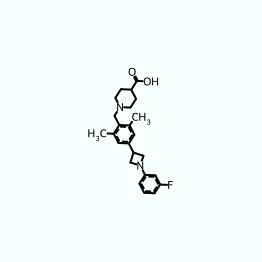 Cc1cc(C2CN(c3cccc(F)c3)C2)cc(C)c1CN1CCC(C(=O)O)CC1